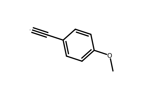 [C]#Cc1ccc(OC)cc1